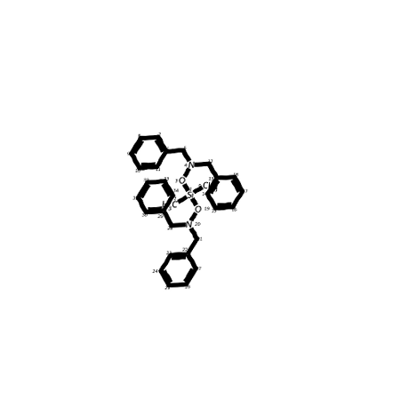 C[Si](C)(ON(Cc1ccccc1)Cc1ccccc1)ON(Cc1ccccc1)Cc1ccccc1